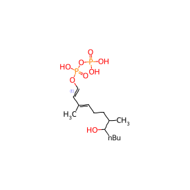 CCCCC(O)C(C)CCC=C(C)/C=C/OP(=O)(O)OP(=O)(O)O